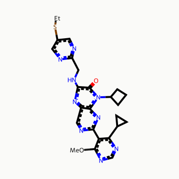 CCSc1cnc(CNc2nc3cnc(-c4c(OC)ncnc4C4CC4)nc3n(C3CCC3)c2=O)nc1